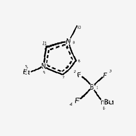 CCCC[B-](F)(F)F.CC[n+]1ccn(C)c1